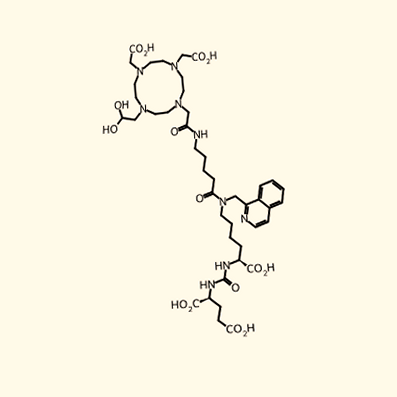 O=C(O)CC[C@H](NC(=O)N[C@@H](CCCCN(Cc1nccc2ccccc12)C(=O)CCCCNC(=O)CN1CCN(CC(=O)O)CCN(CC(=O)O)CCN(CC(O)O)CC1)C(=O)O)C(=O)O